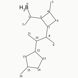 BC(C)C1C(C)CC1C(C)C(C)C1CCC(C)C1